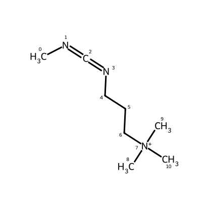 CN=C=NCCC[N+](C)(C)C